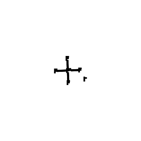 F[P+](F)(F)F.[I-]